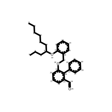 CCCCCCC(CCC)Oc1ccccc1COc1cccc(C=O)c1-c1ccccc1